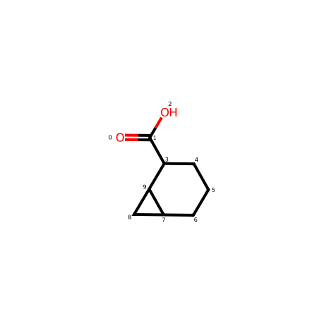 O=C(O)C1CCCC2C[C]21